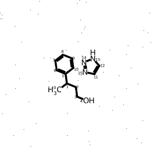 CC(CCO)c1ccccc1.c1c[nH]nn1